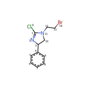 ClC1=NC(c2ccccc2)CN1CCBr